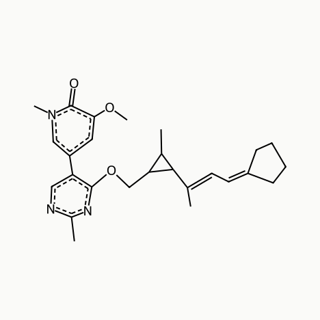 COc1cc(-c2cnc(C)nc2OCC2C(C)C2/C(C)=C/C=C2CCCC2)cn(C)c1=O